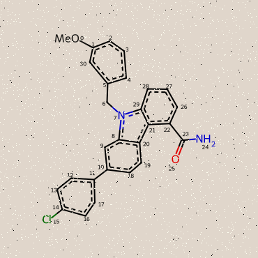 COc1cccc(Cn2c3cc(-c4ccc(Cl)cc4)c[c]c3c3c(C(N)=O)cccc32)c1